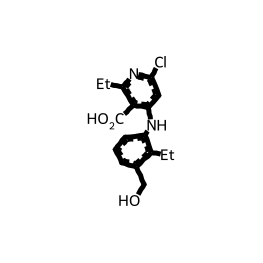 CCc1nc(Cl)cc(Nc2cccc(CO)c2CC)c1C(=O)O